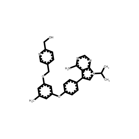 Cc1cc(OCc2ccc(CO)nc2)cc(Oc2ccc(-c3cn(C(C)C)c4ncnc(N)c34)cc2)c1